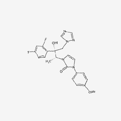 COc1ccc(-n2ccn([C@H](C)[C@](O)(Cn3cncn3)c3ccc(F)cc3F)c2=O)cc1